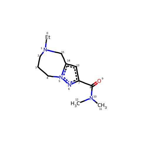 CCN1CCCn2nc(C(=O)N(C)C)cc2C1